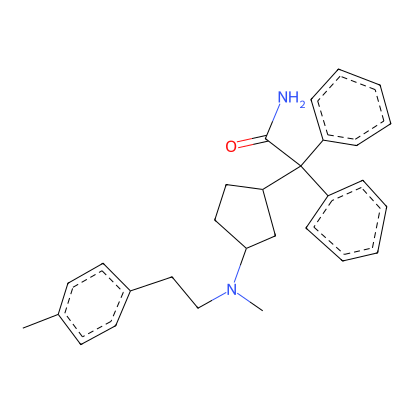 Cc1ccc(CCN(C)C2CCC(C(C(N)=O)(c3ccccc3)c3ccccc3)C2)cc1